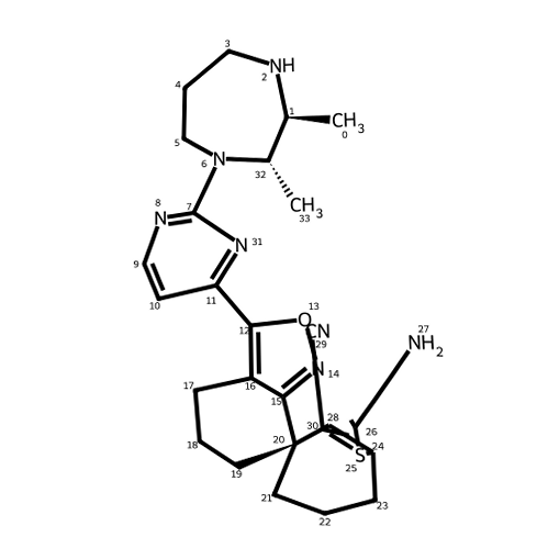 C[C@@H]1NCCCN(c2nccc(-c3onc4c3CCC[C@@]43CCCc4sc(N)c(C#N)c43)n2)[C@H]1C